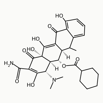 CC1c2cccc(O)c2C(=O)C2=C(O)[C@]3(O)C(=O)C(C(N)=O)=C(O)[C@@H](N(C)C)[C@@H]3[C@@H](OC(=O)C3CCCCC3)[C@@H]21